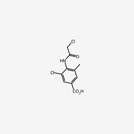 Cc1cc(C(=O)O)cc(Cl)c1NC(=O)CCl